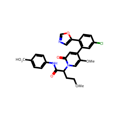 COCCC(C(=O)Nc1ccc(C(=O)O)cc1)n1cc(OC)c(-c2cc(Cl)ccc2-c2cnco2)cc1=O